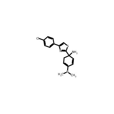 CN(C)C1=CCC(N)(c2nc(-c3ccc(Cl)cc3)cs2)C=C1